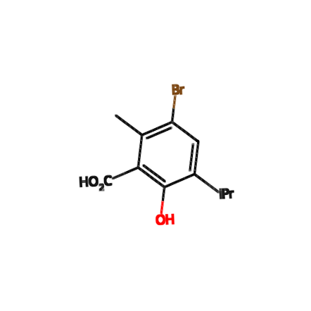 Cc1c(Br)cc(C(C)C)c(O)c1C(=O)O